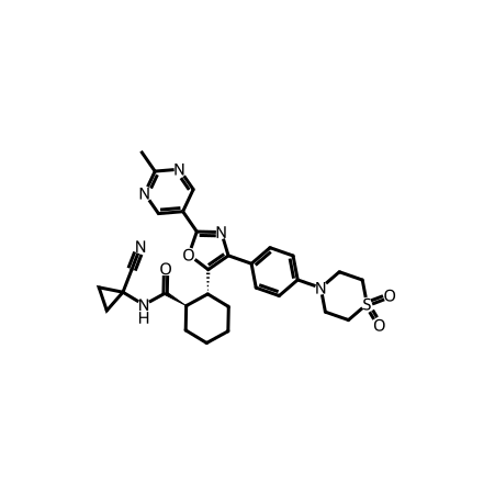 Cc1ncc(-c2nc(-c3ccc(N4CCS(=O)(=O)CC4)cc3)c([C@@H]3CCCC[C@H]3C(=O)NC3(C#N)CC3)o2)cn1